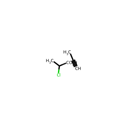 C#CC.CC(Cl)C(=O)O